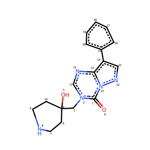 O=c1n(CC2(O)CCNCC2)cnc2c(-c3ccccc3)cnn12